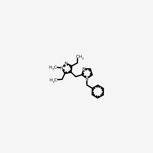 CCc1nn(C)c(CC)c1Cc1nccn1Cc1ccccc1